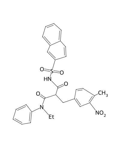 CCN(C(=O)C(Cc1ccc(C)c([N+](=O)[O-])c1)C(=O)NS(=O)(=O)c1ccc2ccccc2c1)c1ccccc1